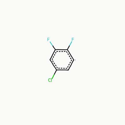 Fc1[c]cc(Cl)cc1F